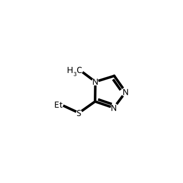 CCSc1nncn1C